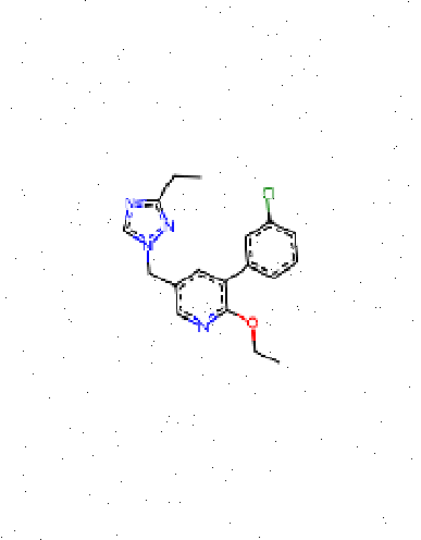 CCOc1ncc(Cn2cnc(CC)n2)cc1-c1cccc(Cl)c1